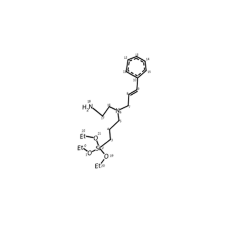 CCO[Si](CCCN(CC=Cc1ccccc1)CCN)(OCC)OCC